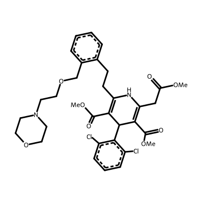 COC(=O)CC1=C(C(=O)OC)C(c2c(Cl)cccc2Cl)C(C(=O)OC)=C(CCc2ccccc2COCCN2CCOCC2)N1